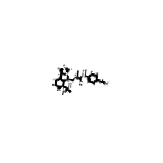 N#Cc1ccc(NC(=O)NCC2c3c(cccc3C(F)(F)F)-c3cncn32)cc1